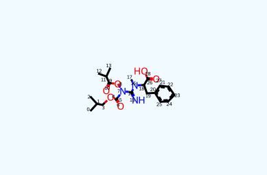 CC(C)COC(=O)N(OC(=O)C(C)C)C(=N)N(C)C(Cc1ccccc1)C(=O)O